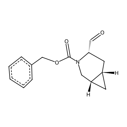 O=C[C@@H]1C[C@@H]2C[C@@H]2CN1C(=O)OCc1ccccc1